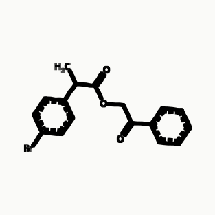 CC(C(=O)OCC(=O)c1ccccc1)c1ccc(Br)cc1